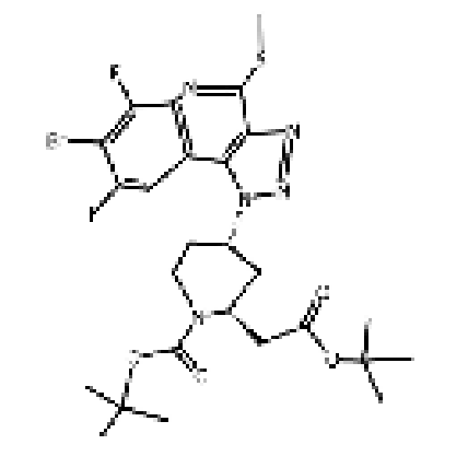 CSc1nc2c(F)c(Br)c(I)cc2c2c1nnn2[C@H]1CCN(C(=O)OC(C)(C)C)[C@H](CC(=O)OC(C)(C)C)C1